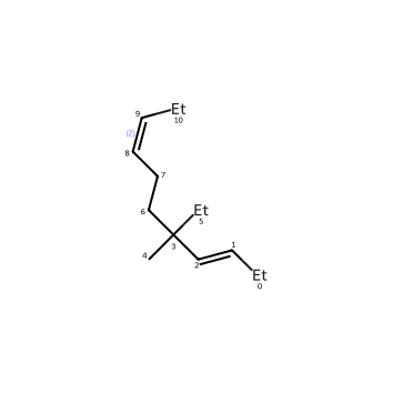 CCC=CC(C)(CC)CC/C=C\CC